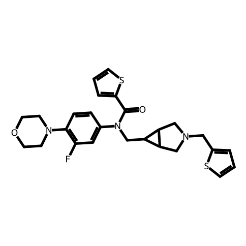 O=C(c1cccs1)N(CC1C2CN(Cc3cccs3)CC21)c1ccc(N2CCOCC2)c(F)c1